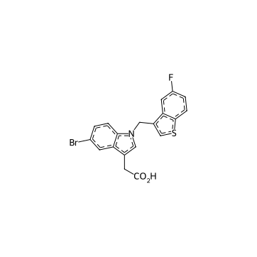 O=C(O)Cc1cn(Cc2csc3ccc(F)cc23)c2ccc(Br)cc12